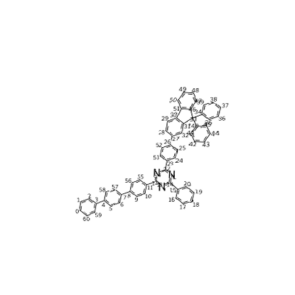 c1ccc(-c2ccc(-c3ccc(-c4nc(-c5ccccc5)nc(-c5ccc(-c6ccc7c(c6)C(c6ccccc6)(c6ccccc6)c6ccccc6-7)cc5)n4)cc3)cc2)cc1